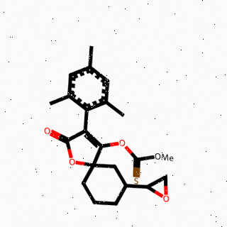 COC(=S)OC1=C(c2c(C)cc(C)cc2C)C(=O)OC12CCCC(C1CO1)C2